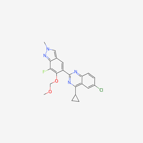 COCOc1c(-c2nc(C3CC3)c3cc(Cl)ccc3n2)cc2cn(C)nc2c1F